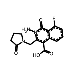 Nn1c(CN2CCCC2=O)c(C(=O)O)c2cccc(F)c2c1=O